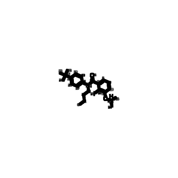 CCCCN(C(=O)c1cccc(O[SiH](C)C)c1I)c1ccc(C(C)(C)C)cc1